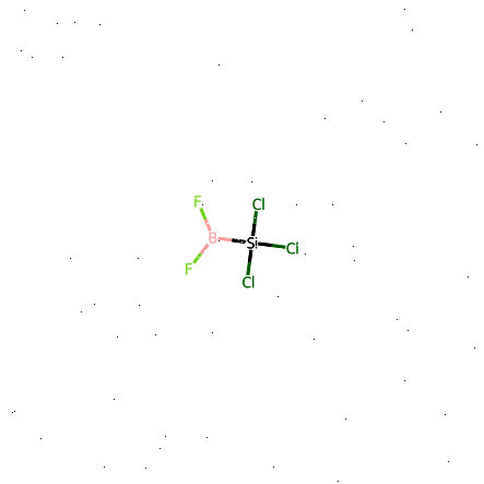 FB(F)[Si](Cl)(Cl)Cl